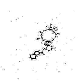 CC[C@H]1OC(=O)[C@H](C)[C@@H](O)[C@H](C)[C@@H](O[C@@H]2O[C@H](C)CC[C@H]2OC(=O)c2ccc3ccccc3c2)[C@](C)(O)C[C@@H](C)CN(C)[C@H](C)[C@@H](O)[C@]1(C)O